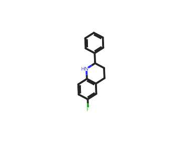 Fc1ccc2c(c1)CCC(c1ccccc1)N2